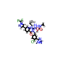 Cn1ncnc1-c1cc([C@@H](COC(=O)NC2CC2)N(C(=N)NCCC(C)(C)C)C(=O)c2ccc(-c3cnn(C(F)F)c3)cc2)ccc1Cl